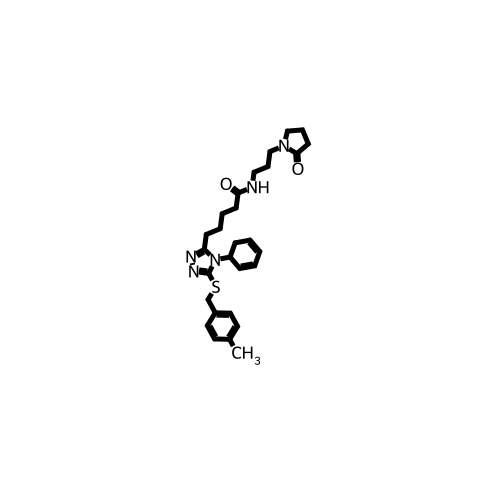 Cc1ccc(CSc2nnc(CCCCC(=O)NCCCN3CCCC3=O)n2C2C=CC=CC2)cc1